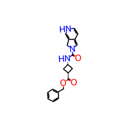 O=C(N[C@H]1C[C@H](C(=O)OCc2ccccc2)C1)N1C=C2C=CNC=C2C1